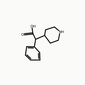 O=C(O)C(c1ccccc1)C1CCNCC1